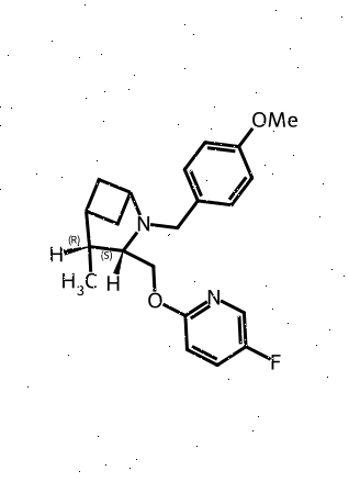 COc1ccc(CN2C3CC(C3)[C@@H](C)[C@H]2COc2ccc(F)cn2)cc1